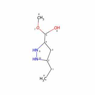 CCC1CC(C(O)OC)NN1